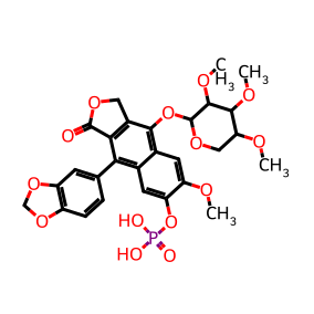 COc1cc2c(OC3OCC(OC)C(OC)C3OC)c3c(c(-c4ccc5c(c4)OCO5)c2cc1OP(=O)(O)O)C(=O)OC3